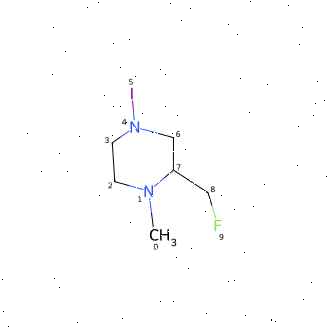 CN1CCN(I)CC1CF